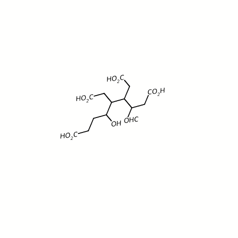 O=CC(CC(=O)O)C(CC(=O)O)C(CC(=O)O)C(O)CCC(=O)O